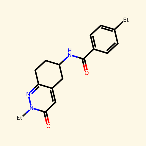 CCc1ccc(C(=O)NC2CCc3nn(CC)c(=O)cc3C2)cc1